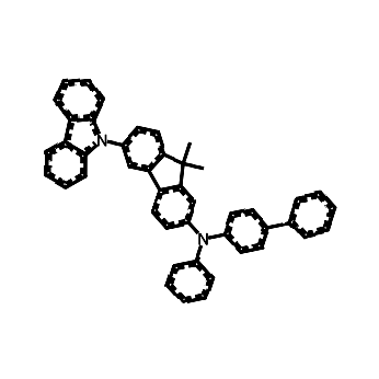 CC1(C)c2ccc(-n3c4ccccc4c4ccccc43)cc2-c2ccc(N(c3ccccc3)c3ccc(-c4ccccc4)cc3)cc21